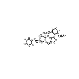 COc1cccc(OC)c1C1CCC(=O)N1Cc1ccc(OCc2ccccc2)cc1